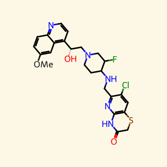 COc1ccc2nccc([C@@H](O)CN3CCC(NCc4nc5c(cc4Cl)SCC(=O)N5)C(F)C3)c2c1